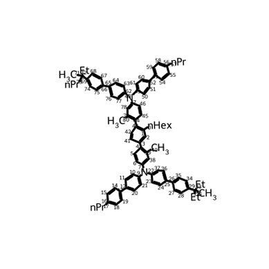 CCCCCCc1cc(-c2ccc(N(c3ccc(-c4ccc(CCC)cc4)cc3)c3ccc(-c4ccc(C(C)(CC)CC)cc4)cc3)cc2C)ccc1-c1ccc(N(c2ccc(-c3ccc(CCC)cc3)cc2)c2ccc(-c3ccc(C(C)(CC)CCC)cc3)cc2)cc1C